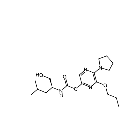 CCCOc1nc(OC(=O)N[C@H](CO)CC(C)C)cnc1N1CCCC1